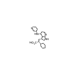 O=C(O)C(=Cc1c[nH]c2nccc(Nc3cccnc3)c12)c1ccccc1